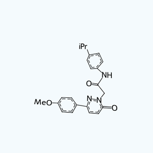 COc1ccc(-c2ccc(=O)n(CC(=O)Nc3ccc(C(C)C)cc3)n2)cc1